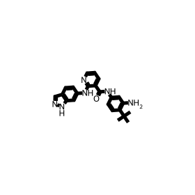 CC(C)(C)c1ccc(NC(=O)c2cccnc2Nc2ccc3cn[nH]c3c2)cc1N